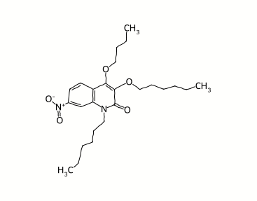 CCCCCCOc1c(OCCCC)c2ccc([N+](=O)[O-])cc2n(CCCCCC)c1=O